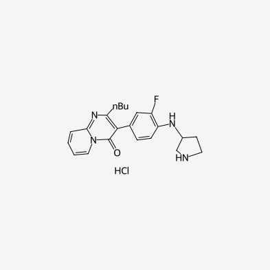 CCCCc1nc2ccccn2c(=O)c1-c1ccc(NC2CCNC2)c(F)c1.Cl